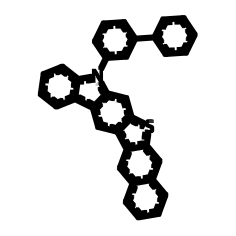 c1ccc(-c2cccc(-n3c4ccccc4c4cc5c(cc43)sc3cc4ccccc4cc35)c2)cc1